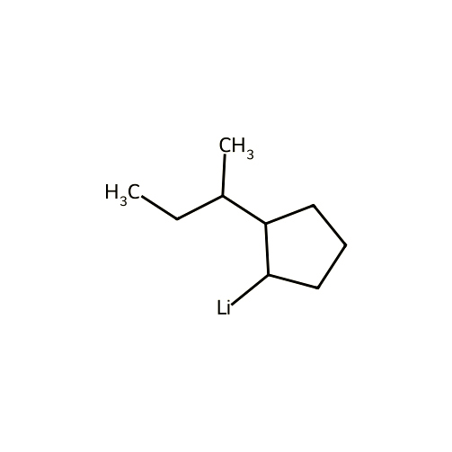 [Li][CH]1CCCC1C(C)CC